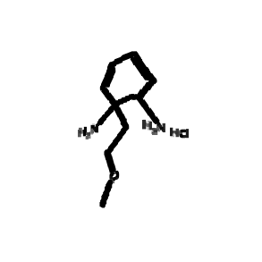 COCCC1(N)C=CC=CC1N.Cl